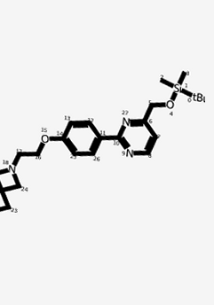 CC(C)(C)[Si](C)(C)OCc1ccnc(-c2ccc(OCCN3CC4(COC4)C3)cc2)n1